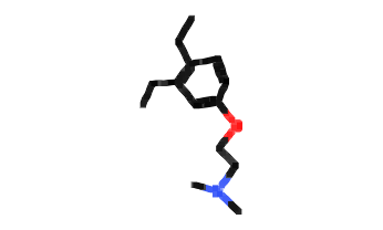 CCc1ccc(OCCN(C)C)cc1CC